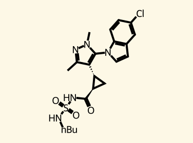 CCCCNS(=O)(=O)NC(=O)[C@@H]1C[C@H]1c1c(C)nn(C)c1-n1ccc2cc(Cl)ccc21